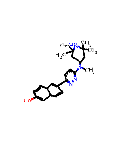 CN(c1ccc(C2=CC3C=CC(O)=CC3C=C2)nn1)C1CC(C)(C)NC(C)(C)C1